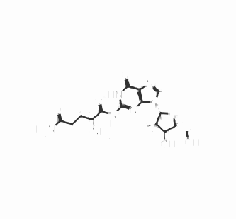 NC(=O)CC[C@H](N)C(=O)Nc1nc2c(ncn2[C@@H]2O[C@H](CO)[C@@H](O)[C@H]2O)c(=O)[nH]1